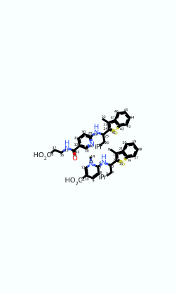 Cc1c(C(CC(C)C)NC2C=CC(C(=O)O)=CN2C)sc2ccccc12.Cc1c(C(CC(C)C)Nc2ccc(C(=O)NCCC(=O)O)cn2)sc2ccccc12